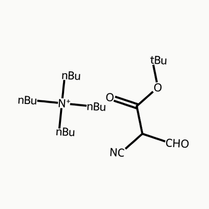 CC(C)(C)OC(=O)C(C#N)C=O.CCCC[N+](CCCC)(CCCC)CCCC